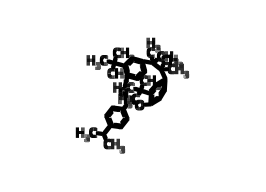 CC(C)c1ccc(P2Oc3ccc(cc3C(C)(C)C)C(C)(C)C(C)(C)c3ccc(c(C(C)(C)C)c3)O2)cc1